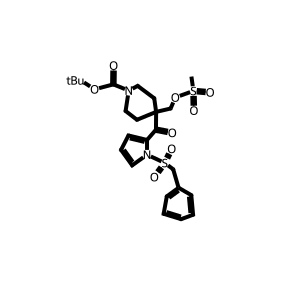 CC(C)(C)OC(=O)N1CCC(COS(C)(=O)=O)(C(=O)c2cccn2S(=O)(=O)Cc2ccccc2)CC1